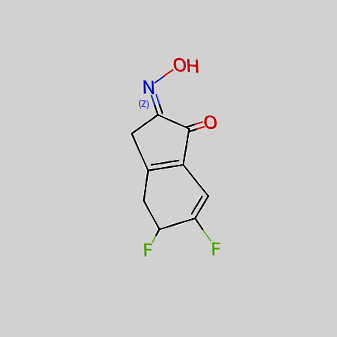 O=C1C2=C(C/C1=N/O)CC(F)C(F)=C2